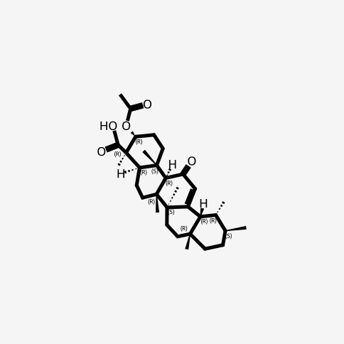 CC(=O)O[C@@H]1CC[C@@]2(C)[C@@H](CC[C@]3(C)[C@@H]2C(=O)C=C2[C@@H]4[C@H](C)[C@@H](C)CC[C@]4(C)CC[C@]23C)[C@@]1(C)C(=O)O